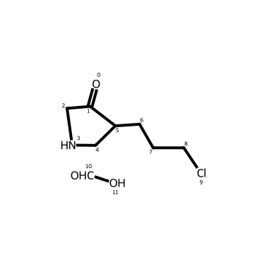 O=C1CNCC1CCCCl.O=CO